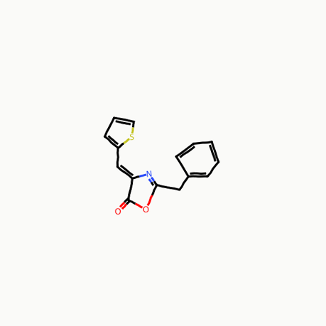 O=C1OC(Cc2ccccc2)=NC1=Cc1cccs1